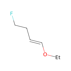 [CH2]COC=CCCF